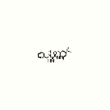 Cc1cc(N(C)C)cc(C)c1NC(=O)C(=N)NCc1ccccc1